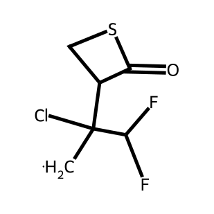 [CH2]C(Cl)(C(F)F)C1CSC1=O